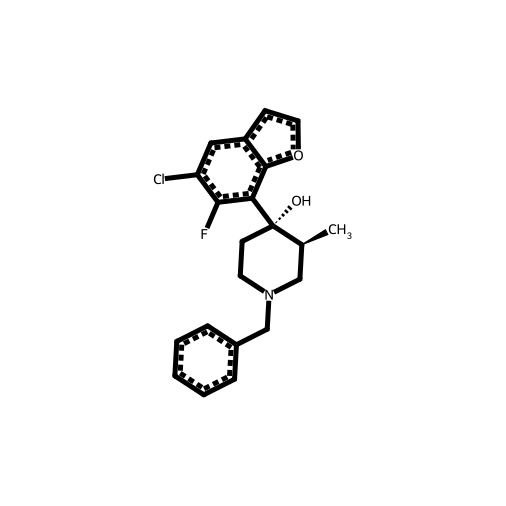 C[C@H]1CN(Cc2ccccc2)CC[C@@]1(O)c1c(F)c(Cl)cc2ccoc12